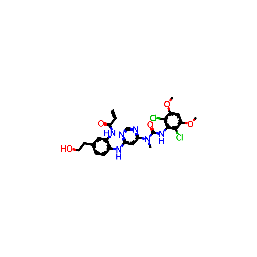 C=CC(=O)Nc1cc(CCO)ccc1Nc1cc(N(C)C(=O)Nc2c(Cl)c(OC)cc(OC)c2Cl)ncn1